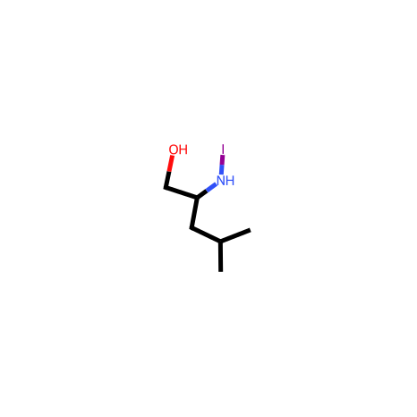 CC(C)CC(CO)NI